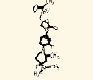 CC(=O)NC[C@H]1CN(c2ccc(N3CCC(F)(N(C)C)CC3C)c(F)c2)C(=O)O1